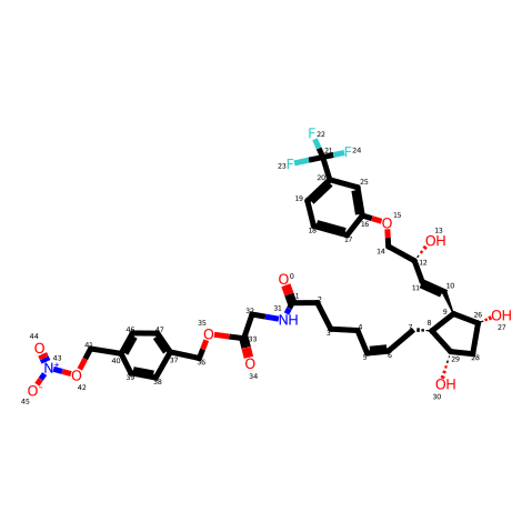 O=C(CCC/C=C\C[C@@H]1[C@@H](/C=C/[C@@H](O)COc2cccc(C(F)(F)F)c2)[C@H](O)C[C@@H]1O)NCC(=O)OCc1ccc(CO[N+](=O)[O-])cc1